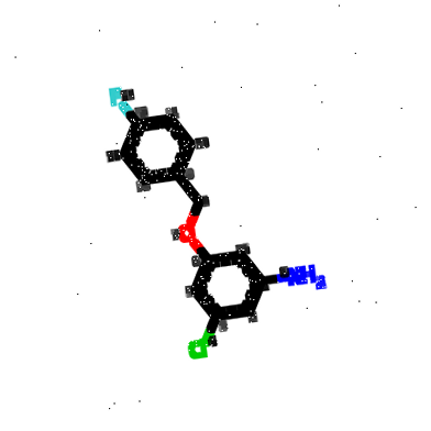 Nc1cc(Cl)cc(OCc2ccc(F)cc2)c1